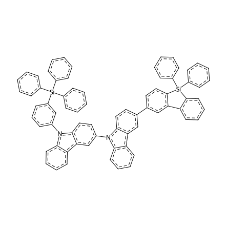 c1ccc([Si](c2ccccc2)(c2ccccc2)c2cccc(-n3c4ccccc4c4cc(-n5c6ccccc6c6cc(-c7ccc8c(c7)-c7ccccc7[Si]8(c7ccccc7)c7ccccc7)ccc65)ccc43)c2)cc1